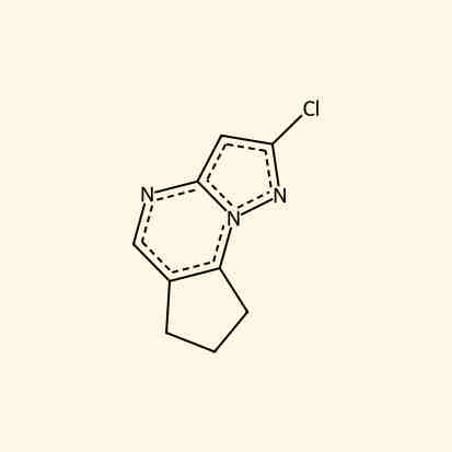 Clc1cc2ncc3c(n2n1)CCC3